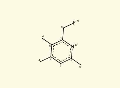 Cc1cc(C)c(C)c(CF)n1